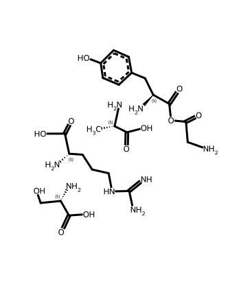 C[C@H](N)C(=O)O.N=C(N)NCCC[C@H](N)C(=O)O.NCC(=O)OC(=O)[C@@H](N)Cc1ccc(O)cc1.N[C@@H](CO)C(=O)O